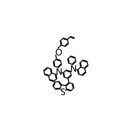 C=Cc1ccc(COCc2ccc(N(c3cc(-c4cccc5sc6ccccc6c45)cc(N(c4ccccc4)c4cccc5ccccc45)c3)c3cccc4ccccc34)cc2)cc1